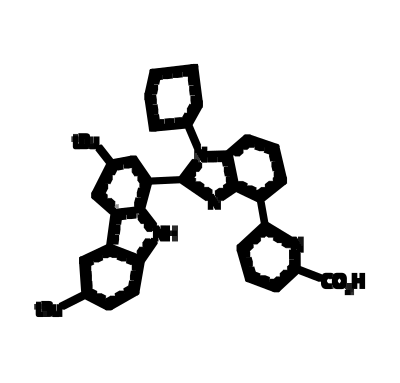 CC(C)(C)c1ccc2[nH]c3c(-c4nc5c(-c6cccc(C(=O)O)n6)cccc5n4-c4ccccc4)cc(C(C)(C)C)cc3c2c1